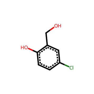 OCc1cc(Cl)ccc1O